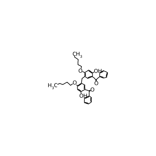 CCCCCOc1cc(O)c(C(=O)c2ccccc2)cc1Cc1cc(C(=O)c2ccccc2)c(O)cc1OCCCCC